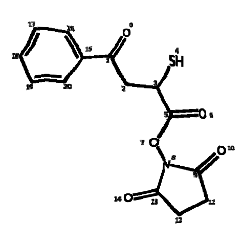 O=C(CC(S)C(=O)ON1C(=O)CCC1=O)c1ccccc1